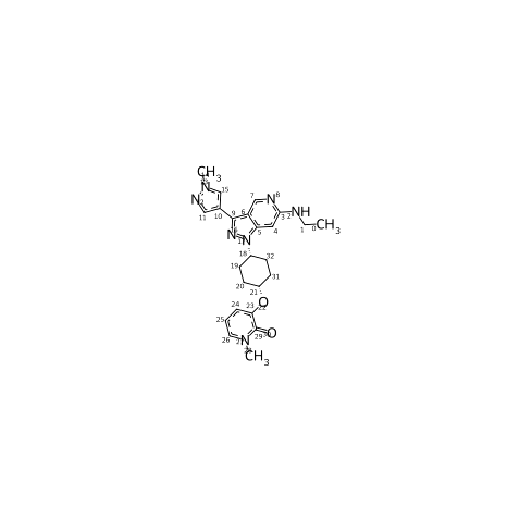 CCNc1cc2c(cn1)c(-c1cnn(C)c1)nn2[C@H]1CC[C@@H](Oc2cccn(C)c2=O)CC1